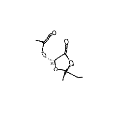 CC(=O)O[C@H]1OC(C)(C)OC1=O